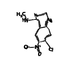 CNc1ncnc2cc(Cl)c([N+](=O)[O-])cc12